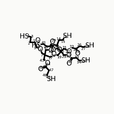 O=C(CCS)COCC(COCC(=O)CCS)(COCC(COCC(=O)CCS)(COC(=O)CCS)COC(=O)CCS)COC(=O)CCS